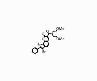 COCCN(CCOC)C(=O)c1cc2ccc3c(Br)c(C4=CCCCC4)[se]c3c2oc1=O